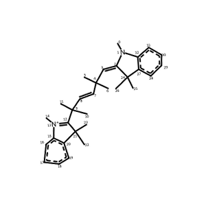 CN1/C(=C/C(C)(C)/C=C/C(C)(C)C2=[N+](C)c3ccccc3C2(C)C)C(C)(C)c2ccccc21